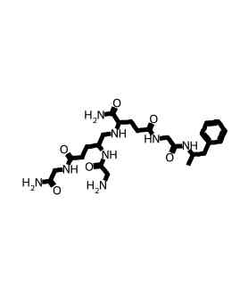 CC(Cc1ccccc1)NC(=O)CNC(=O)CCC(NCC(CCC(=O)NCC(N)=O)NC(=O)CN)C(N)=O